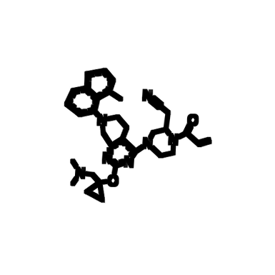 C=CC(=O)N1CCN(c2nc(OC3(CN(C)C)CC3)nc3c2CCN(c2cccc4cccc(C)c24)C3)CC1CC#N